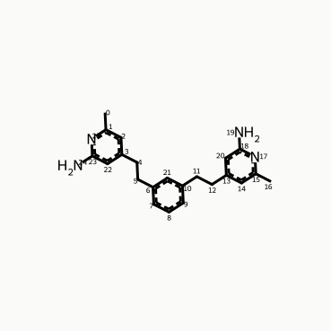 Cc1cc(CCc2cccc(CCc3cc(C)nc(N)c3)c2)cc(N)n1